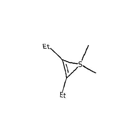 CCC1=C(CC)S1(C)C